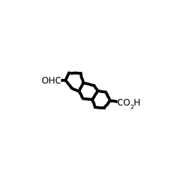 O=CC1CCC2CC3CC(C(=O)O)CCC3CC2C1